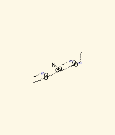 CCCCCC/C=C\COC(CCCCCCCCCC(CCCCCCCCCC(OC/C=C\CCCCCC)OCCCCCCCCC)OC(=O)CCCN(C)C)OC/C=C\CCCCCC